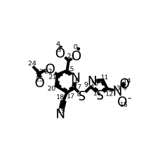 COC(OC)c1nc(Sc2ncc([N+](=O)[O-])s2)c(C#N)cc1OC(C)=O